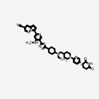 CCN(CC1CCN(c2ccc([C@H]3CCC(=O)NC3=O)cn2)CC1)C1CCC(c2nnc(-c3cnc(-c4ccc5cc(C#N)cnn45)cc3NC)s2)CC1